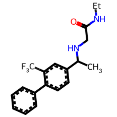 CCNC(=O)CNC(C)c1ccc(-c2ccccc2)c(C(F)(F)F)c1